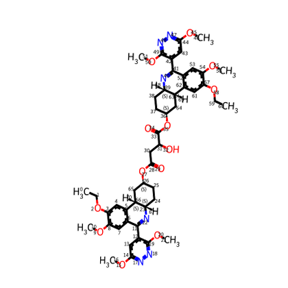 CCOc1cc2c(cc1OC)C(c1cc(OC)nnc1OC)=N[C@H]1CC[C@H](OC(=O)CC(O)C(=O)O[C@H]3CC[C@@H]4N=C(c5cc(OC)nnc5OC)c5cc(OC)c(OCC)cc5[C@@H]4C3)C[C@@H]21